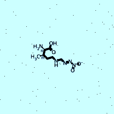 C[C@H](CCNCN=N[N+](=O)[O-])[C@H](N)C(=O)O